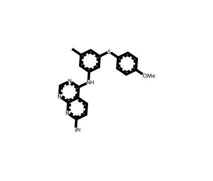 COc1ccc(Sc2cc(C)cc(Nc3ncnc4nc(C(C)C)ccc34)c2)cc1